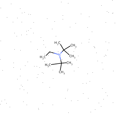 [CH2]CN(C(C)(C)C)C(C)(C)C